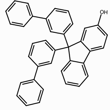 Oc1ccc2c(c1)C(c1cccc(-c3ccccc3)c1)(c1cccc(-c3ccccc3)c1)c1ccccc1-2